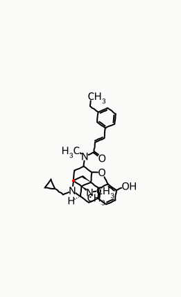 CCc1cccc(/C=C/C(=O)N(C)C2CC[C@@]3(N(C)C)[C@H]4Cc5ccc(O)c6c5[C@@]3(CCN4CC3CC3)C2O6)c1